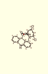 COC(=O)C1c2ccccc2Nc2cccc(-c3c(Cl)cc(Cl)cc3Cl)c21